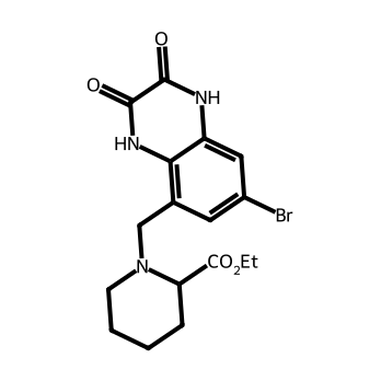 CCOC(=O)C1CCCCN1Cc1cc(Br)cc2[nH]c(=O)c(=O)[nH]c12